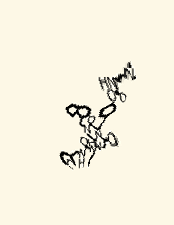 CCCN(C(=O)NCc1ccccc1)N1CC(=O)N2C(Cc3ccc(OC(=O)NCCN(C)C)cc3)C(=O)N(Cc3cccc4ccccc34)C[C@@H]21